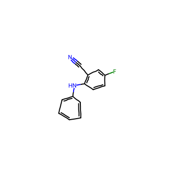 N#Cc1cc(F)ccc1Nc1ccccc1